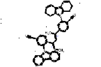 C/C=C(\C=C(/C)c1ccc(C#N)c(-n2c3c(c4c2CCC=C4)C=CCC3)c1)c1ccc(C#N)cc1-n1c2ccccc2c2ccccc21